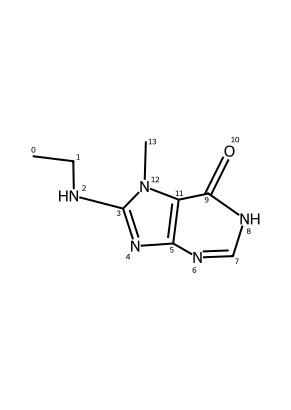 CCNc1nc2nc[nH]c(=O)c2n1C